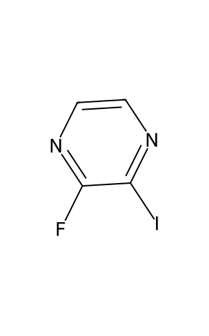 Fc1nccnc1I